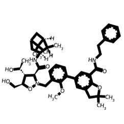 COc1c(CN2O[C@@H](CO)[C@H]([C@H](C)O)[C@H]2C(=O)N[C@H]2CC3C[C@@H]([C@@H]2C)C3(C)C)cccc1-c1cc2c(c(C(=O)NCCc3ccccc3)c1)OC(C)(C)C2